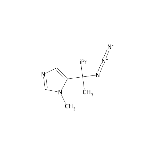 CC(C)C(C)(N=[N+]=[N-])c1cncn1C